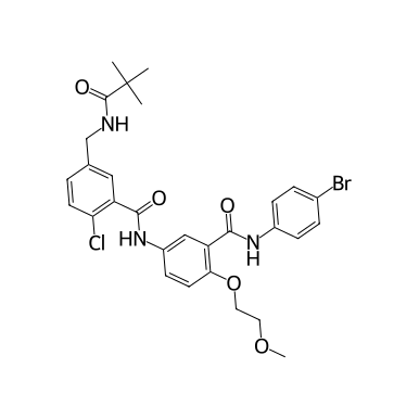 COCCOc1ccc(NC(=O)c2cc(CNC(=O)C(C)(C)C)ccc2Cl)cc1C(=O)Nc1ccc(Br)cc1